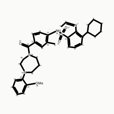 C/C=N\c1c(C2CCCCC2)cccc1S(=O)(=O)Nc1ccc(C(=O)N2CCCN(c3ccccc3OC)CC2)cc1C